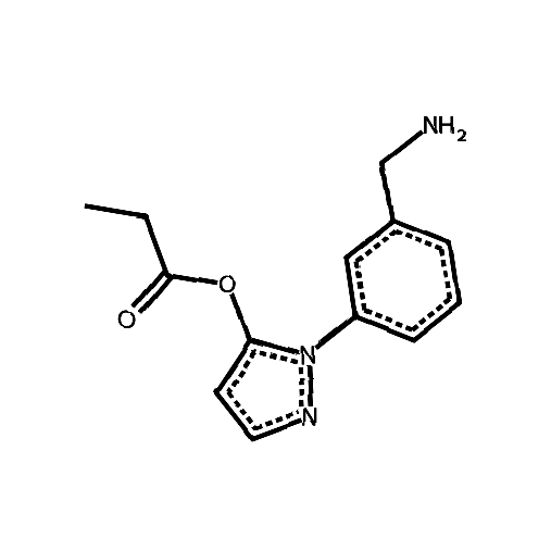 CCC(=O)Oc1ccnn1-c1cccc(CN)c1